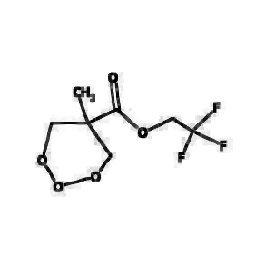 CC1(C(=O)OCC(F)(F)F)COOOC1